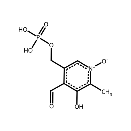 Cc1c(O)c(C=O)c(COP(=O)(O)O)c[n+]1[O-]